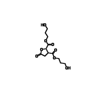 O=C1CC(C(=O)OCCCO)C(C(=O)OCCCO)O1